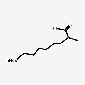 CCCCCCCCCCCCC(C)C(=S)Cl